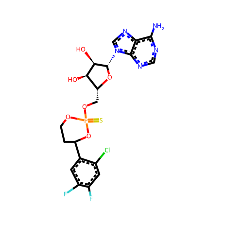 Nc1ncnc2c1ncn2[C@@H]1O[C@H](COP2(=S)OCCC(c3cc(F)c(F)cc3Cl)O2)[C@@H](O)[C@H]1O